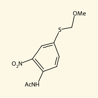 COCSc1ccc(NC(C)=O)c([N+](=O)[O-])c1